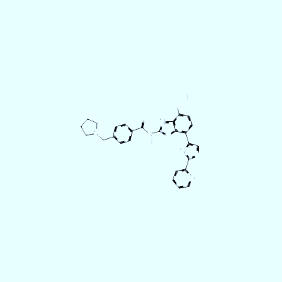 COc1ccc(-c2csc(-c3ccccn3)n2)c2sc(NC(=O)c3ccc(CN4CCCC4)cc3)nc12